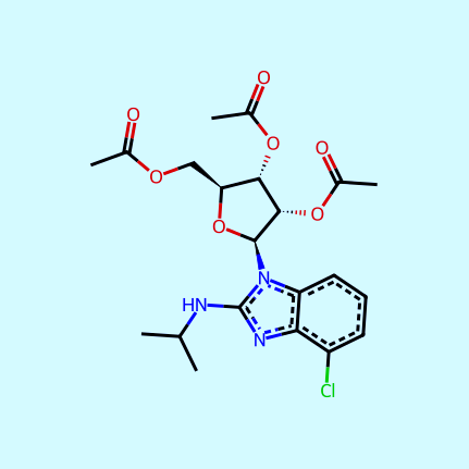 CC(=O)OC[C@@H]1O[C@H](n2c(NC(C)C)nc3c(Cl)cccc32)[C@@H](OC(C)=O)[C@H]1OC(C)=O